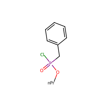 CCCOP(=O)(Cl)Cc1ccccc1